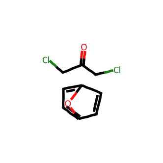 O=C(CCl)CCl.c1cc2ccc1o2